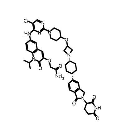 CC(C)n1c(=O)c(OCC(N)=O)cc2cc(Nc3nc(N4CCC(OC5CN([C@H]6CC[C@@H](c7ccc8c(c7)CN(C7CCC(=O)NC7=O)C8=O)CC6)C5)CC4)ncc3Cl)ccc21